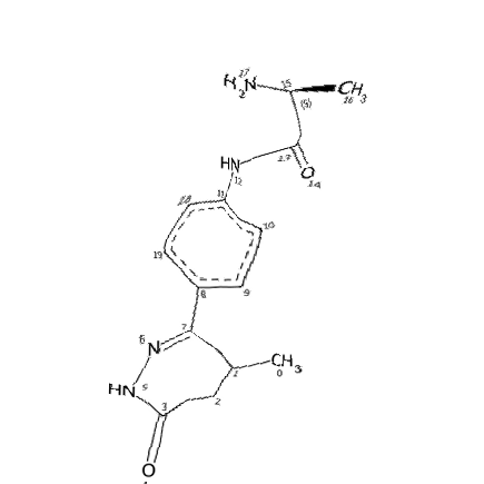 CC1CC(=O)NN=C1c1ccc(NC(=O)[C@H](C)N)cc1